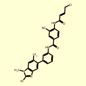 CCc1nc2cc(-c3cccc(NC(=O)c4ccc(NC(=O)C=CCCl)c(C#N)c4)c3)c(C(F)(F)F)cc2n1C